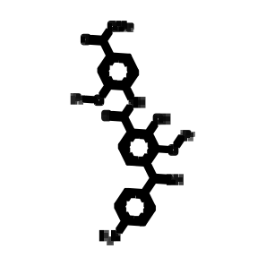 COC(=O)c1ccc(NC(=O)c2ccc(C(=N)c3ccc(N)cc3)c(OC(C)C)c2O)c(OC(C)C)c1